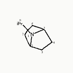 CC(C)N1C2CCC1CC2